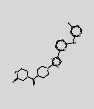 Cc1ccnc(Nc2cccc(-c3cnc(N4CCC(C(=O)N5CCNC(=O)C5)CC4)s3)n2)c1